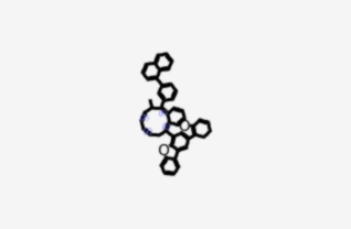 CC1/C=C\C=C/C/C(c2c3oc4c(c3cc3c2oc2ccccc23)CCC=C4)=c2/cccc/c2=C/1c1cccc(-c2cccc3ccccc23)c1